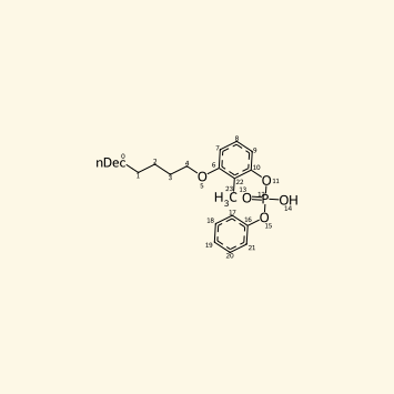 CCCCCCCCCCCCCCOc1cccc(OP(=O)(O)Oc2ccccc2)c1C